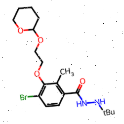 Cc1c(C(=O)NNC(C)(C)C)ccc(Br)c1OCCOC1CCCCO1